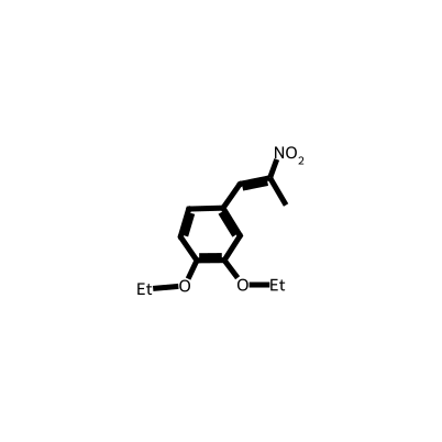 CCOc1ccc(C=C(C)[N+](=O)[O-])cc1OCC